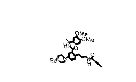 CC#CC(=O)NCCCc1ccc(N2CCN(CC)CC2)cc1C(=O)N[C@H](C)c1ccc(OC)c(OC)c1